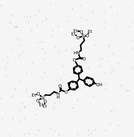 CCO[Si](CCCNC(=O)Oc1ccc(C(c2ccc(O)cc2)c2ccc(OC(=O)NCCC[Si](OCC)(OCC)OCC)cc2)cc1)(OCC)OCC